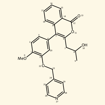 COc1ccc(-c2c(CC(C)O)oc(=O)c3ccccc23)cc1OCc1ccncc1